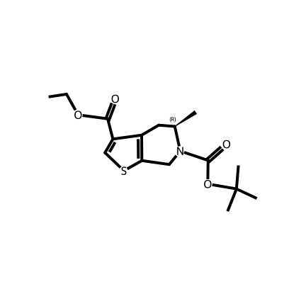 CCOC(=O)c1csc2c1C[C@@H](C)N(C(=O)OC(C)(C)C)C2